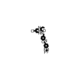 CCc1nc2cc(Cl)ccn2c1C(=O)NCc1ccc2oc(-c3ccc(OC(F)(F)F)cc3)nc2c1